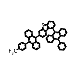 FC(F)(F)c1ccc(-c2c3ccccc3c(-c3ccc4c(c3)sc3cccc(-c5c6ccccc6c(-c6ccccc6)c6ccccc56)c34)c3ccccc23)cc1